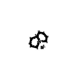 [Br-].c1cc[n+]2ccccc2c1